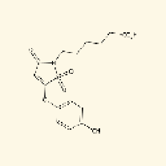 N#Cc1ccc(OC2=CC(=O)N(CCCCCC(=O)O)S2(=O)=O)cc1